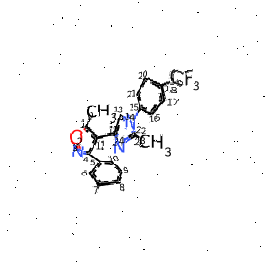 Cc1onc(-c2ccccc2)c1-c1cn(-c2ccc(C(F)(F)F)cc2)c(C)n1